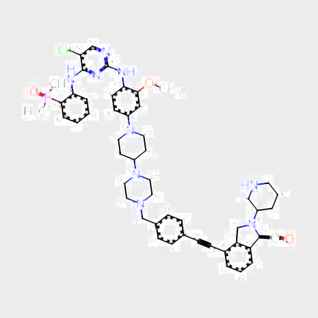 COc1cc(N2CCC(N3CCN(Cc4ccc(C#Cc5cccc6c5CN(C5CCCNC5)C6=C=O)cc4)CC3)CC2)ccc1Nc1ncc(Cl)c(Nc2ccccc2P(C)(C)=O)n1